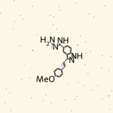 COc1ccc(/C=C/c2n[nH]c3ccc(C(=N)/N=C\N)cc23)cc1